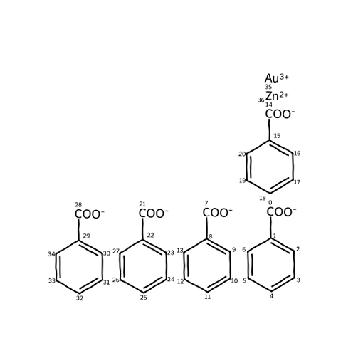 O=C([O-])c1ccccc1.O=C([O-])c1ccccc1.O=C([O-])c1ccccc1.O=C([O-])c1ccccc1.O=C([O-])c1ccccc1.[Au+3].[Zn+2]